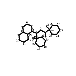 CC(CC(C1CCCC2CCCCC21)C1(C)CCCCC1)C1(C)CCCCC1